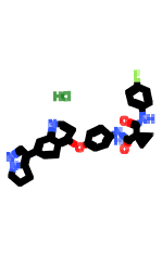 Cl.O=C(Nc1ccc(F)cc1)C1(C(=O)Nc2ccc(Oc3ccnc4cc(-c5cnn6c5CCC6)ccc34)cc2)CC1